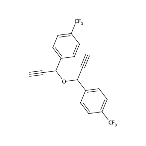 C#CC(OC(C#C)c1ccc(C(F)(F)F)cc1)c1ccc(C(F)(F)F)cc1